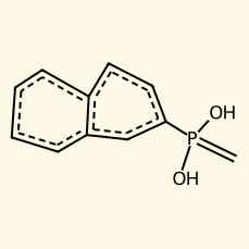 C=P(O)(O)c1ccc2ccccc2c1